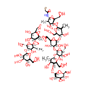 CC1C(O)[C@H](O[C@@H]2OC(CO[C@H]3OC(CO)[C@@H](O)C(O)[C@H]3O[C@@H]3O[C@@H](CO)[C@@H](O[C@@H]4OC(CO)[C@H](O)C(O)[C@@H]4O)C(O)C3C)[C@@H](O)C(O[C@H]3O[C@H](CO)[C@@H](O)C(O)C3O[C@@H]3OC(CO)[C@@H](O[C@@H]4OC(CO)[C@H](O)C(O)[C@@H]4O)C(O)[C@@H]3C)[C@H]2O)C(CO)O[C@H]1O[C@@H]1C(CO)O[C@@H](NC(=O)CBr)C(C)C1O